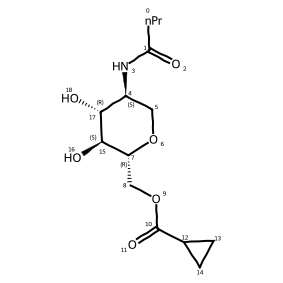 CCCC(=O)N[C@H]1CO[C@H](COC(=O)C2CC2)[C@@H](O)[C@@H]1O